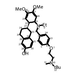 CCN(Cc1ccc(OCCN(C)C(C)(C)C)cc1)C1C=C(OC)C(OC)=CC1[C@@H]1CCc2cc(O)ccc2C1